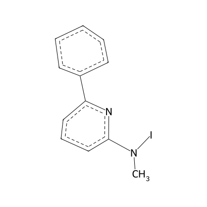 CN(I)c1cccc(-c2ccccc2)n1